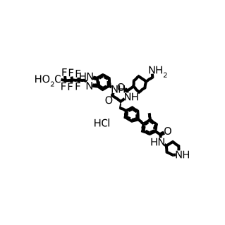 Cc1cc(C(=O)NC2CCNCC2)ccc1-c1ccc(C[C@H](NC(=O)C2CCC(CN)CC2)C(=O)Nc2ccc3[nH]c(C(F)(F)C(F)(F)C(F)(F)C(=O)O)nc3c2)cc1.Cl